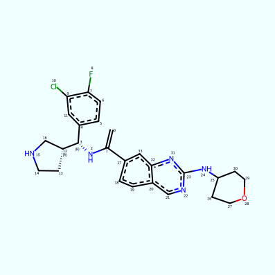 C=C(N[C@@H](c1ccc(F)c(Cl)c1)[C@@H]1CCNC1)c1ccc2cnc(NC3CCOCC3)nc2c1